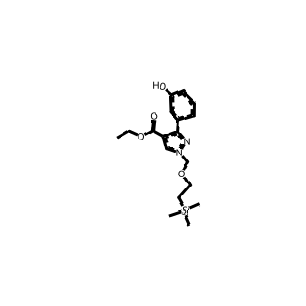 CCOC(=O)c1cn(COCC[Si](C)(C)C)nc1-c1cccc(O)c1